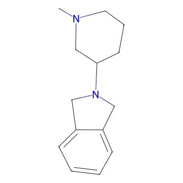 CN1CCCC(N2Cc3ccccc3C2)C1